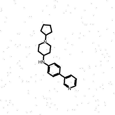 c1cncc(-c2ccc(NC3CCN(C4CCCC4)CC3)cc2)c1